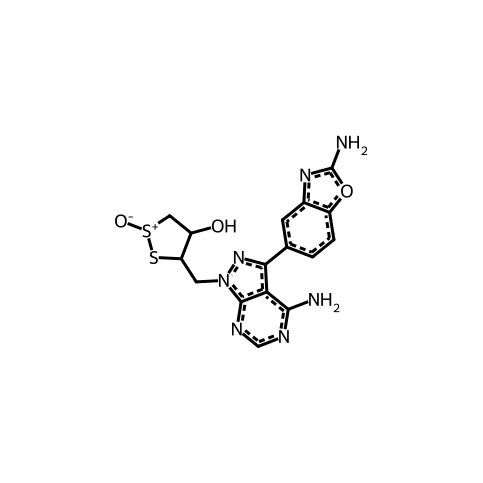 Nc1nc2cc(-c3nn(CC4S[S+]([O-])CC4O)c4ncnc(N)c34)ccc2o1